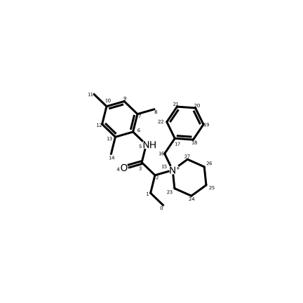 CCC(C(=O)Nc1c(C)cc(C)cc1C)[N+]1(Cc2ccccc2)CCCCC1